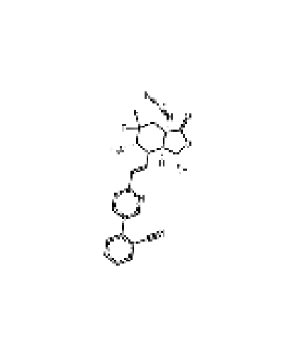 C[C@H]1OC(=O)[C@]2(N=[N+]=[N-])CC(F)(F)[C@@H](C)[C@H](C=Cc3ccc(-c4ccccc4C#N)cn3)[C@H]12